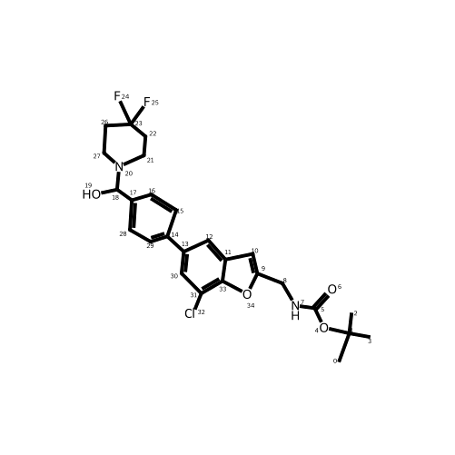 CC(C)(C)OC(=O)NCc1cc2cc(-c3ccc(C(O)N4CCC(F)(F)CC4)cc3)cc(Cl)c2o1